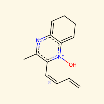 C=C/C=C\c1c(C)nc2c([n+]1O)=CCCC=2